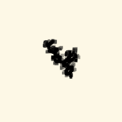 CC(=O)N1CC(n2cc(-c3cn(-c4ccc(F)cc4)c4nc[nH]c(=O)c34)cn2)C1